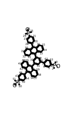 CP(C)(=O)c1ccc(-c2cc(-c3c4ccccc4c(-c4ccc(P(C)(C)=O)cc4)c4ccccc34)cc(-c3c4ccccc4c(-c4ccc(P(C)(C)=O)cc4)c4ccccc34)c2)cc1